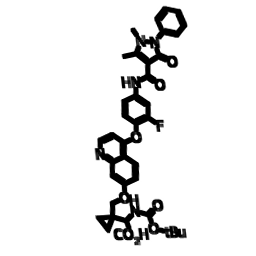 Cc1c(C(=O)Nc2ccc(Oc3ccnc4cc(OCC5(C(NC(=O)OC(C)(C)C)C(=O)O)CC5)ccc34)c(F)c2)c(=O)n(-c2ccccc2)n1C